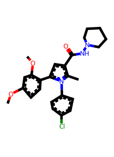 COc1ccc(-c2cc(C(=O)NN3CCCCC3)c(C)n2-c2ccc(Cl)cc2)c(OC)c1